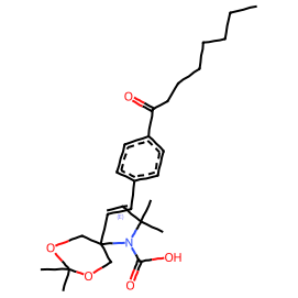 CCCCCCCC(=O)c1ccc(/C=C/C2(N(C(=O)O)C(C)(C)C)COC(C)(C)OC2)cc1